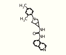 Cc1ccc(N2CC3C(C2)C3NC(=O)Nc2cccc3cnccc23)c(C)c1